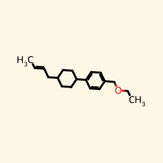 CC=CCC1CCC(c2ccc(COCC)cc2)CC1